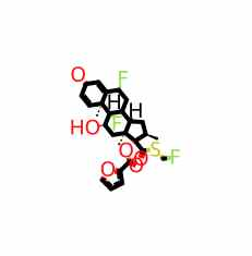 C[C@@H]1C[C@H]2[C@@H]3C[C@H](F)C4=CC(=O)C=C[C@]4(C)[C@@]3(F)[C@@H](O)C[C@]2(C)[C@@]1(OC(=O)c1ccco1)C(=O)SCF